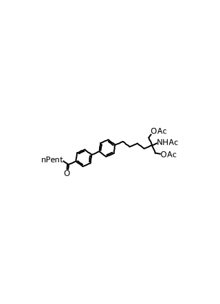 CCCCCC(=O)c1ccc(-c2ccc(CCCCC(COC(C)=O)(COC(C)=O)NC(C)=O)cc2)cc1